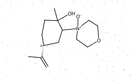 C=C(C)[C@@H]1CCC(C)(O)C([N+]2([O-])CCOCC2)C1